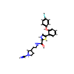 N#CN1CCC(CCNC(=O)c2ncc(-c3ccccc3Oc3ccc(F)cc3)s2)C1